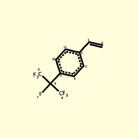 C=Cc1ccc(C(F)(C(F)(F)F)C(F)(F)F)cc1